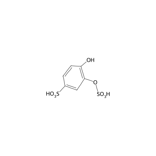 O=S(=O)(O)Oc1cc(S(=O)(=O)O)ccc1O